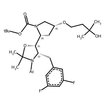 CC(=O)N1[C@@H](Cc2cc(F)cc(F)c2)[C@@H]([C@H]2C[C@@H](OCCC(C)(C)O)CN2C(=O)OC(C)(C)C)OC1(C)C